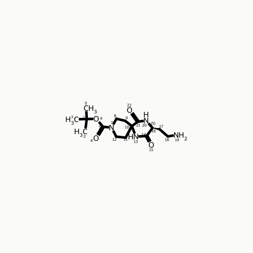 CC(C)(C)OC(=O)N1CCC2(CC1)NC(=O)[C@H](CCN)NC2=O